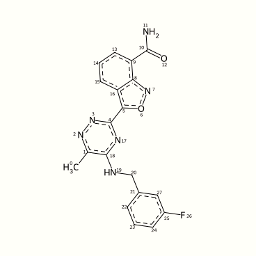 Cc1nnc(-c2onc3c(C(N)=O)cccc23)nc1NCc1cccc(F)c1